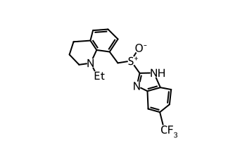 CCN1CCCc2cccc(C[S+]([O-])c3nc4cc(C(F)(F)F)ccc4[nH]3)c21